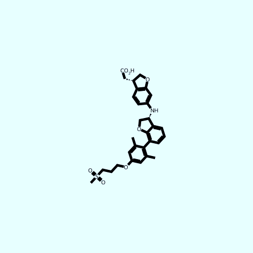 Cc1cc(OCCCS(C)(=O)=O)cc(C)c1-c1cccc2c1OC[C@@H]2Nc1ccc2c(c1)OC[C@H]2CC(=O)O